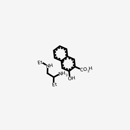 CCNCC(N)CC.O=C(O)c1cc2ccccc2cc1O